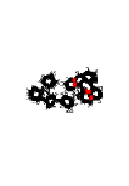 c1ccc(-c2cccc3cccc(-c4ccccc4N(c4ccccc4)c4cccc(-c5ccc6c7ccccc7n(-c7ccccc7)c6c5)c4)c23)cc1